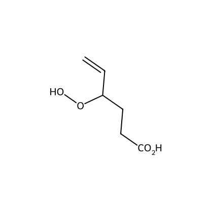 C=CC(CCC(=O)O)OO